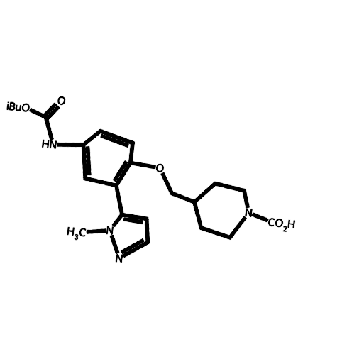 CC(C)COC(=O)Nc1ccc(OCC2CCN(C(=O)O)CC2)c(-c2ccnn2C)c1